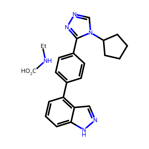 CCNC(=O)O.c1cc(-c2ccc(-c3nncn3C3CCCC3)cc2)c2cn[nH]c2c1